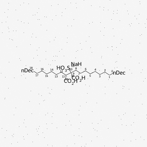 CCCCCCCCCCCCCCCCCCC(C(=O)O)(C(CCCCCCCCCCCCCCCC)C(=O)O)S(=O)(=O)O.[NaH]